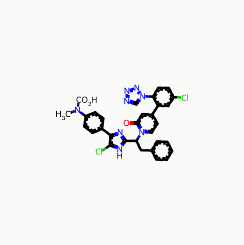 CN(C(=O)O)c1ccc(-c2nc(C(Cc3ccccc3)n3ccc(-c4cc(Cl)ccc4-n4cnnn4)cc3=O)[nH]c2Cl)cc1